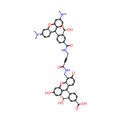 CN(C)c1ccc2c(-c3ccc(C(=O)NCC#CC(=O)NCc4c5oc6cc(O)ccc6c(-c6ccc(C(=O)O)cc6C(=O)O)c-5ccc4=O)cc3C(=O)O)c3ccc(=[N+](C)C)cc-3oc2c1